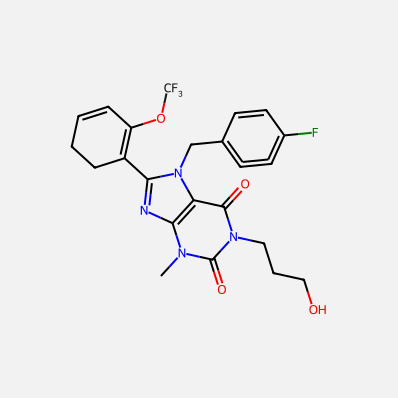 Cn1c(=O)n(CCCO)c(=O)c2c1nc(C1=C(OC(F)(F)F)C=CCC1)n2CC1=C=C=C(F)C=C1